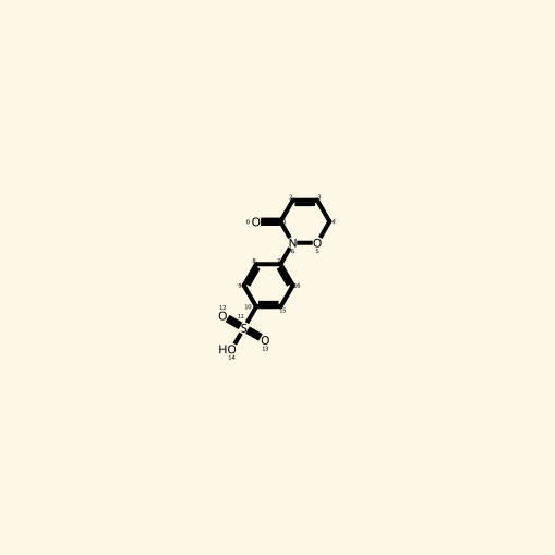 O=C1C=CCON1c1ccc(S(=O)(=O)O)cc1